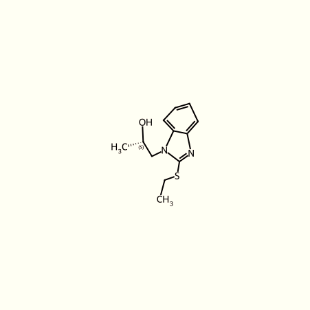 CCSc1nc2ccccc2n1C[C@H](C)O